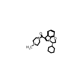 CN1CCN(C(=O)c2cn3c4c(cccc24)OC[C@H]3C2CCCCC2)CC1